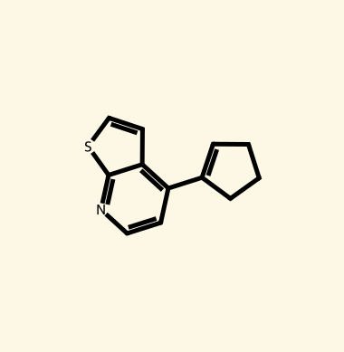 C1=C(c2ccnc3sccc23)CCC1